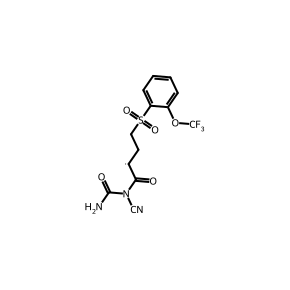 N#CN(C(N)=O)C(=O)[CH]CCS(=O)(=O)c1ccccc1OC(F)(F)F